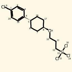 Clc1ccc([C@H]2CC[C@H](OCCC[Si](Cl)(Cl)Cl)CC2)cc1